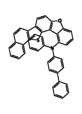 c1ccc(-c2ccc(N(c3ccccc3)c3cccc4oc5ccc6c7ccc8ccccc8c7sc6c5c34)cc2)cc1